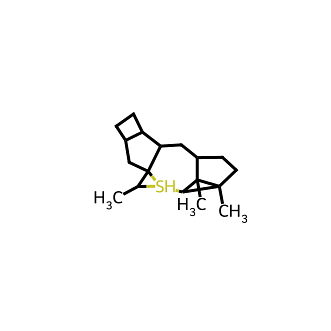 CC1[SH]2C3C4(C)CCC(CC5C6CCC6CC512)C34C